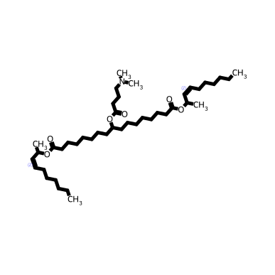 CCCCCC/C=C\C(C)OC(=O)CCCCCCCC(CCCCCCCC(=O)OC(C)/C=C\CCCCCC)OC(=O)CCCN(C)C